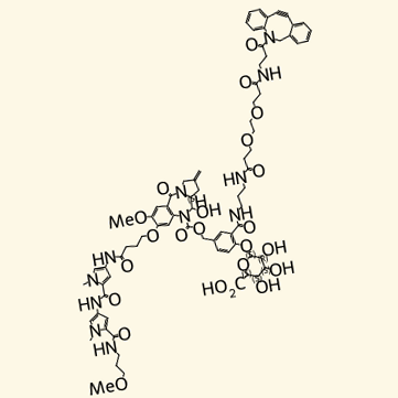 C=C1C[C@H]2C(O)N(C(=O)OCc3ccc(O[C@@H]4O[C@H](C(=O)O)[C@@H](O)[C@H](O)[C@H]4O)c(C(=O)NCCCNC(=O)CCOCCOCCC(=O)NCCC(=O)N4Cc5ccccc5C#Cc5ccccc54)c3)c3cc(OCCCC(=O)Nc4cc(C(=O)Nc5cc(C(=O)NCCCOC)n(C)c5)n(C)c4)c(OC)cc3C(=O)N2C1